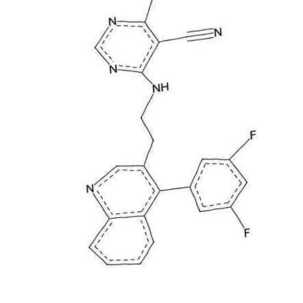 N#Cc1c(N)ncnc1NCCc1cnc2ccccc2c1-c1cc(F)cc(F)c1